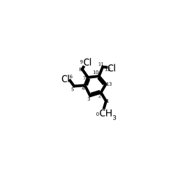 CCc1cc(CCl)c(CCl)c(CCl)c1